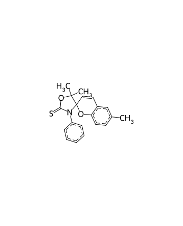 Cc1ccc2c(c1)C=CC1(O2)N(c2ccccc2)C(=S)OC1(C)C